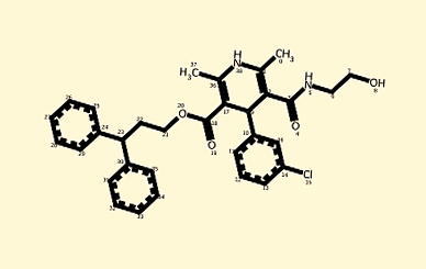 CC1=C(C(=O)NCCO)C(c2cccc(Cl)c2)C(C(=O)OCCC(c2ccccc2)c2ccccc2)=C(C)N1